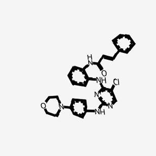 O=C(/C=C/c1ccccc1)Nc1ccccc1Nc1nc(Nc2ccc(N3CCOCC3)cc2)ncc1Cl